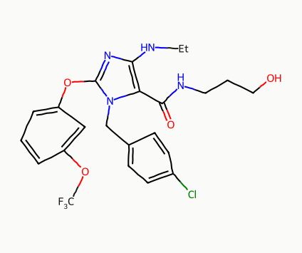 CCNc1nc(Oc2cccc(OC(F)(F)F)c2)n(Cc2ccc(Cl)cc2)c1C(=O)NCCCO